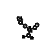 C=Cc1ccc(-c2ccc(-c3cc(-c4cc(Br)cc(Br)c4)nc(-c4ccc5ccccc5c4)n3)cc2)cc1